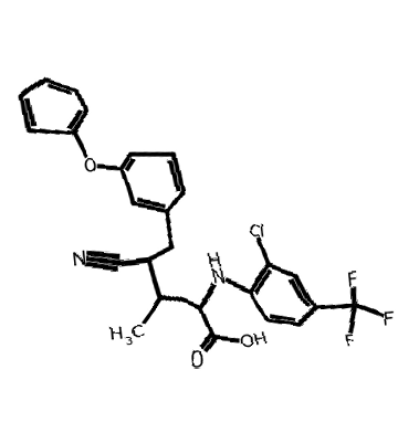 CC(C(C#N)Cc1cccc(Oc2ccccc2)c1)C(Nc1ccc(C(F)(F)F)cc1Cl)C(=O)O